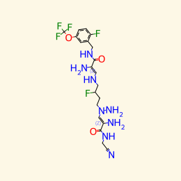 N#CCNC(=O)/C(N)=C/N(N)CCC(F)CN/C=C(\N)C(=O)NCc1cc(OC(F)(F)F)ccc1F